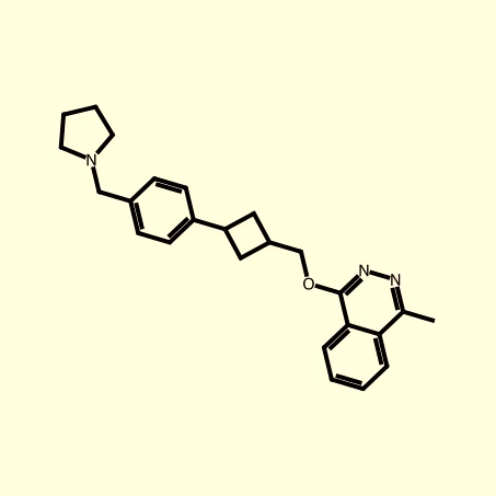 Cc1nnc(OCC2CC(c3ccc(CN4CCCC4)cc3)C2)c2ccccc12